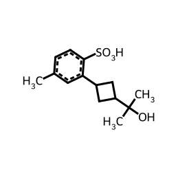 Cc1ccc(S(=O)(=O)O)c(C2CC(C(C)(C)O)C2)c1